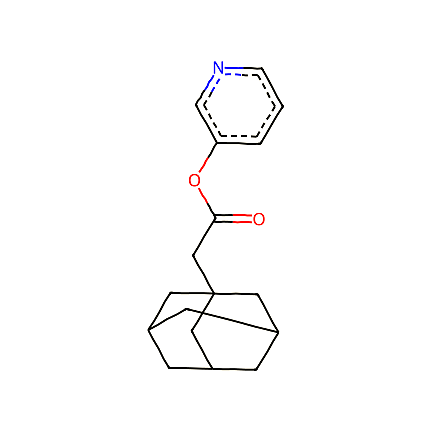 O=C(CC12CC3CC(CC(C3)C1)C2)Oc1cccnc1